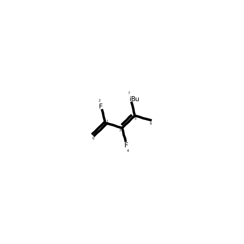 C=C(F)/C(F)=C(/C)C(C)CC